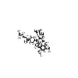 CNc1ncc2c(n1)N(C1CCN(C(=O)/C=C/CN(C)C)CC1)C(=O)N(c1c(Cl)c(OC)cc(OC)c1Cl)C2